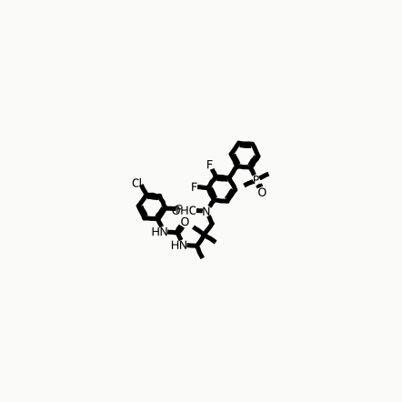 CC(NC(=O)Nc1ccc(Cl)cc1F)C(C)(C)CN(C=O)c1ccc(-c2ccccc2P(C)(C)=O)c(F)c1F